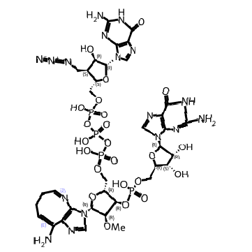 CO[C@@H]1[C@H](OP(=O)(O)OC[C@H]2O[C@@H](n3cnc4c(=O)[nH]c(N)nc43)[C@H](O)[C@@H]2O)[C@@H](COP(=O)(O)OP(=O)(O)OP(=O)(O)OC[C@H]2O[C@@H](n3cnc4c(=O)[nH]c(N)nc43)[C@H](O)[C@@H]2CN=[N+]=[N-])O[C@H]1n1cnc2c1/N=C\CC/C=C\2N